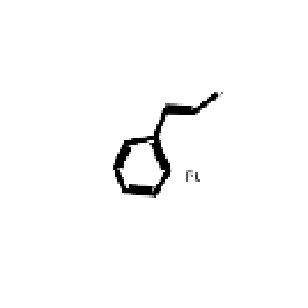 [CH2]/C=C/c1ccccc1.[Pt]